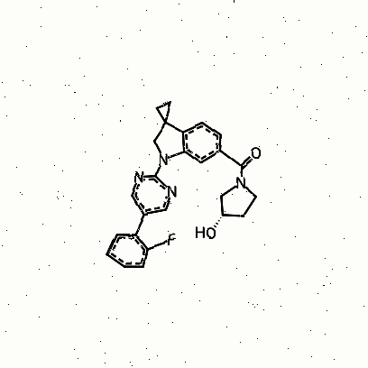 O=C(c1ccc2c(c1)N(c1ncc(-c3ccccc3F)cn1)CC21CC1)N1CC[C@H](O)C1